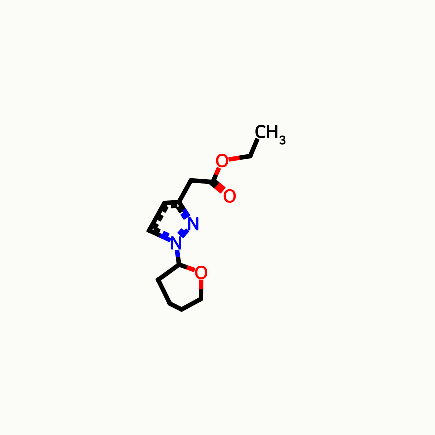 CCOC(=O)Cc1ccn(C2CCCCO2)n1